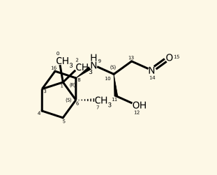 CC1(C)C2CC[C@]1(C)[C@H](N[C@H](CO)CN=O)C2